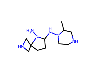 CC1CNCCN1NC1CCC2(CNC2)N1N